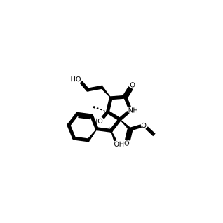 COC(=O)[C@]1([C@@H](O)[C@@H]2C=CCCC2)NC(=O)[C@H](CCO)[C@]1(C)O